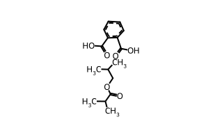 CC(C)COC(=O)C(C)C.O=C(O)c1ccccc1C(=O)O